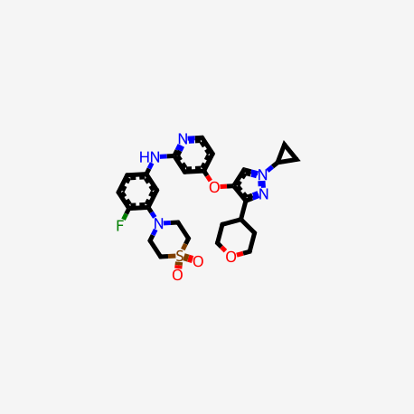 O=S1(=O)CCN(c2cc(Nc3cc(Oc4cn(C5CC5)nc4C4CCOCC4)ccn3)ccc2F)CC1